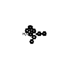 CC1CC=CC2(C)c3ccccc3C3(c4ccccc4-c4ccc(N(c5ccc(-c6ccccc6)cc5)c5ccc(-c6ccccc6)cc5)cc43)C12